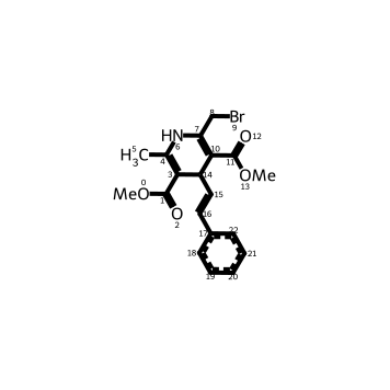 COC(=O)C1=C(C)NC(CBr)=C(C(=O)OC)C1C=Cc1ccccc1